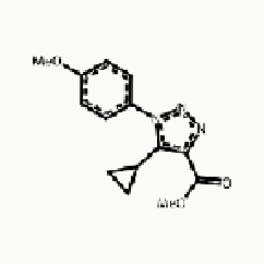 COC(=O)c1nnn(-c2ccc(OC)cc2)c1C1CC1